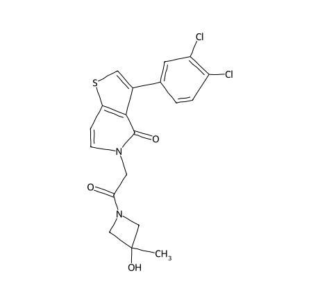 CC1(O)CN(C(=O)Cn2ccc3scc(-c4ccc(Cl)c(Cl)c4)c3c2=O)C1